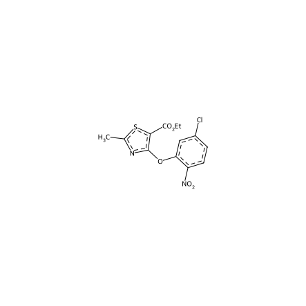 CCOC(=O)c1sc(C)nc1Oc1cc(Cl)ccc1[N+](=O)[O-]